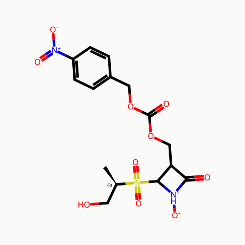 C[C@H](CO)S(=O)(=O)C1C(COC(=O)OCc2ccc([N+](=O)[O-])cc2)C(=O)[NH+]1[O-]